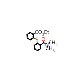 CCOC(=O)c1ccccc1Sc1ccccc1C(=O)N(C)C